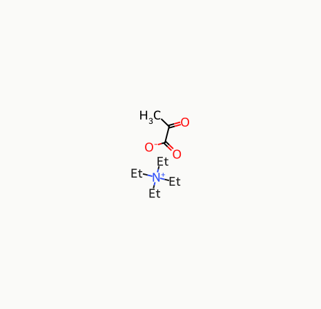 CC(=O)C(=O)[O-].CC[N+](CC)(CC)CC